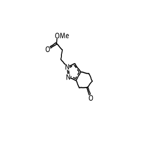 COC(=O)CCn1cc2c(n1)CC(=O)CC2